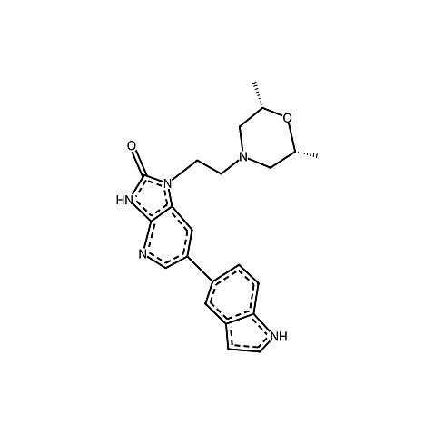 C[C@@H]1CN(CCn2c(=O)[nH]c3ncc(-c4ccc5[nH]ccc5c4)cc32)C[C@H](C)O1